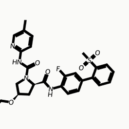 CCO[C@@H]1C[C@H](C(=O)Nc2ccc(-c3ccccc3S(C)(=O)=O)cc2F)N(C(=O)Nc2ccc(C)cn2)C1